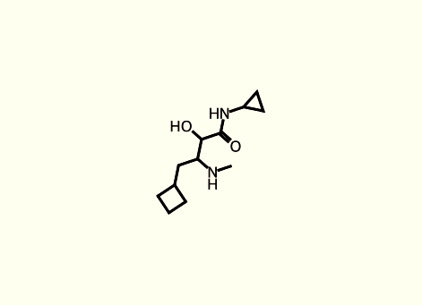 CNC(CC1CCC1)C(O)C(=O)NC1CC1